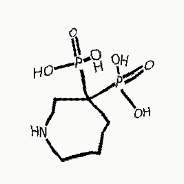 O=P(O)(O)C1(P(=O)(O)O)CCCNC1